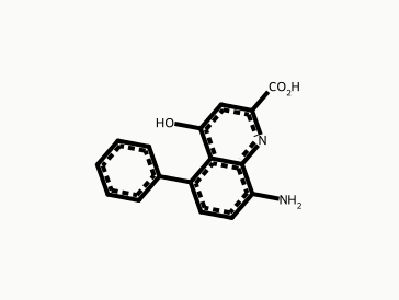 Nc1ccc(-c2ccccc2)c2c(O)cc(C(=O)O)nc12